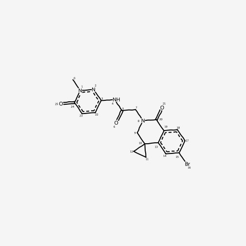 Cn1nc(NC(=O)CN2CC3(CC3)c3cc(Br)ccc3C2=O)ccc1=O